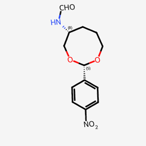 O=CN[C@@H]1CCCO[C@H](c2ccc([N+](=O)[O-])cc2)OC1